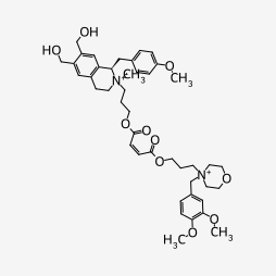 COc1ccc(C[C@@H]2c3cc(CO)c(CO)cc3CC[N@@+]2(C)CCCOC(=O)/C=C\C(=O)OCCC[N+]2(Cc3ccc(OC)c(OC)c3)CCOCC2)cc1